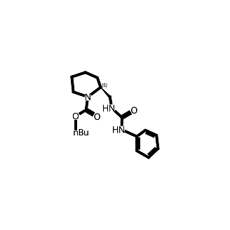 CCCCOC(=O)N1CCCC[C@H]1CNC(=O)Nc1ccccc1